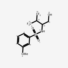 COc1cccc(S(=O)(=O)NC(CO)C(C(F)(F)F)C(F)(F)F)c1